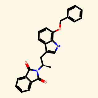 C[C@H](Cc1c[nH]c2c(OCc3ccccc3)cccc12)N1C(=O)c2ccccc2C1=O